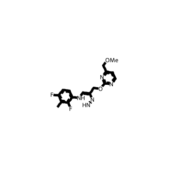 COCc1ccnc(OC/C(=C/Nc2ccc(F)c(C)c2F)N=N)n1